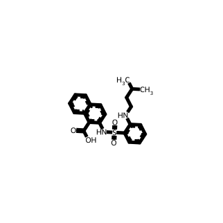 CC(C)CCNc1ccccc1S(=O)(=O)Nc1ccc2ccccc2c1C(=O)O